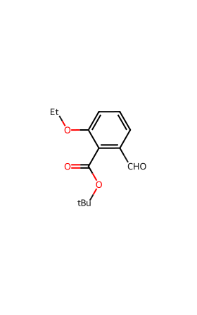 CCOc1cccc(C=O)c1C(=O)OC(C)(C)C